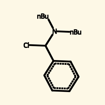 CCCCN(CCCC)C(Cl)c1ccccc1